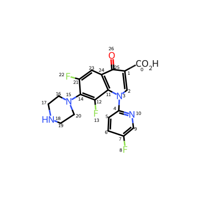 O=C(O)c1cn(-c2ccc(F)cn2)c2c(F)c(N3CCNCC3)c(F)cc2c1=O